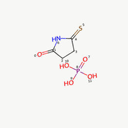 O=C1CCC(=S)N1.O=P(O)(O)O